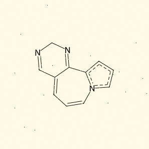 C1=Cn2cccc2C2=NCN=CC2=C1